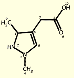 CC1NN(C)C=C1CC(=O)O